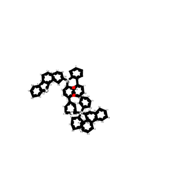 c1ccc(-c2ccccc2N(c2ccc(-c3cccc([Si](c4ccccc4)(c4ccccc4)c4cc5ccccc5c5ccccc45)c3)cc2)c2ccc3ccc4c5ccccc5oc4c3c2)cc1